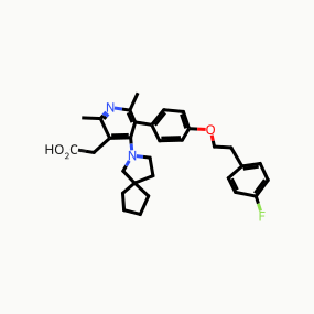 Cc1nc(C)c(-c2ccc(OCCc3ccc(F)cc3)cc2)c(N2CCC3(CCCC3)C2)c1CC(=O)O